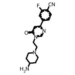 N#Cc1ccc(-c2cc(=O)n(CCN3CCC(N)CC3)cn2)cc1F